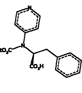 CCOC(=O)N(c1ccncc1)[C@@H](Cc1ccccc1)C(=O)O